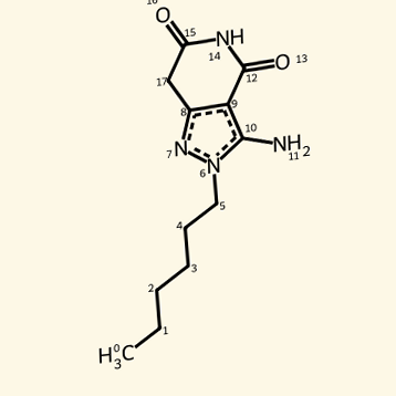 CCCCCCn1nc2c(c1N)C(=O)NC(=O)C2